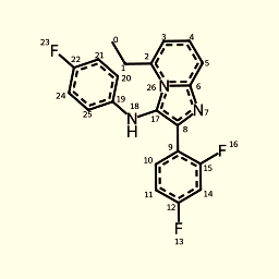 CCc1cccc2nc(-c3ccc(F)cc3F)c(Nc3ccc(F)cc3)n12